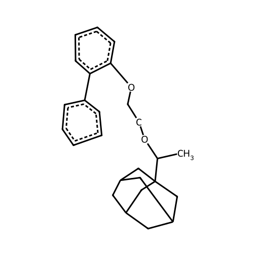 CC(OCCOc1ccccc1-c1ccccc1)C12CC3CC(CC(C3)C1)C2